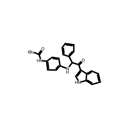 CC(C)(C)C(=O)Nc1ccc(NC(C(=O)c2c[nH]c3ccccc23)c2ccccc2)cc1